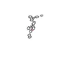 c1ccc(-c2ccc(-n3c4ccccc4c4ccc(-c5ccc6c7ccccc7n(-c7ccccc7-c7cccc(-c8ccc9ccccc9c8)c7)c6c5)cc43)cc2)cc1